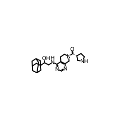 O=C([C@@H]1CCNC1)N1CCc2c(ncnc2NCC(O)C23CC4CC(CC(C4)C2)C3)C1